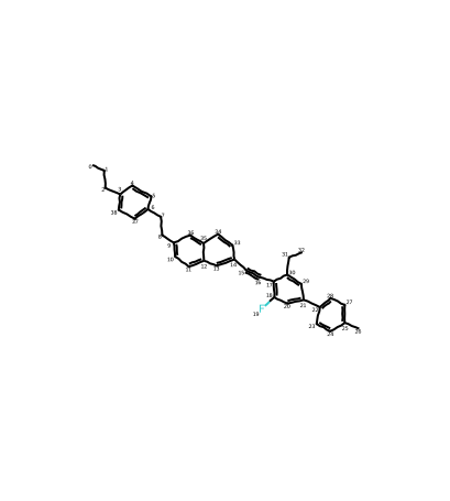 CCCc1ccc(CCc2ccc3cc(C#Cc4c(F)cc(-c5ccc(C)cc5)cc4CC)ccc3c2)cc1